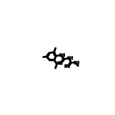 CCc1cc(C)cc(C)c1NC(=N)NC(=N)NC